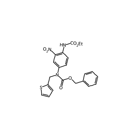 CCOC(=O)Nc1ccc(N(Cc2cccs2)C(=O)OCc2ccccc2)cc1[N+](=O)[O-]